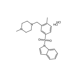 Cc1ccc(S(=O)(=O)n2ccc3ccccc32)cc1CN1CCN(C)CC1.Cl.Cl